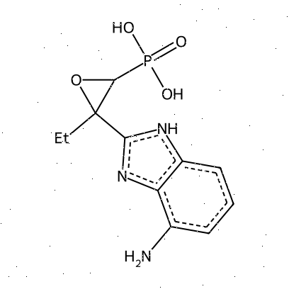 CCC1(c2nc3c(N)cccc3[nH]2)OC1P(=O)(O)O